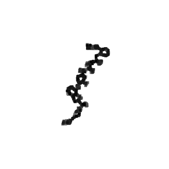 COc1ccccc1CC(=O)NC(=S)Nc1ccc(Oc2ccnc3cc(C(=O)N4CC(O)C4)sc23)c(F)c1